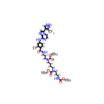 CCc1cc(Nc2nccn3c(-c4c[nH]nc4C(F)(F)F)cnc23)ccc1C(=O)NCCCN(CCCCN(CCCNC(=O)OC(C)(C)C)C(=O)OC(C)(C)C)C(=O)OC(C)(C)C